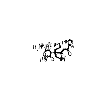 CC(C)CCC(CC(C)C)(C(=O)CC(=O)c1ncc[nH]1)[C@@H](C(=O)NO)[C@@H](CC(C)C)C(=O)NN